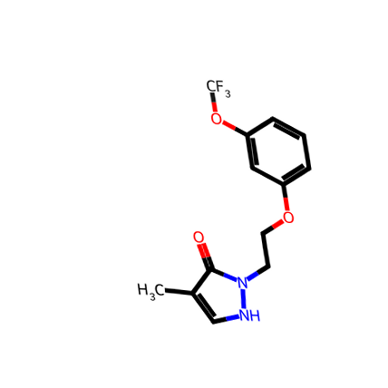 Cc1c[nH]n(CCOc2cccc(OC(F)(F)F)c2)c1=O